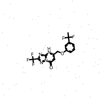 CC(F)(F)c1cccc(OCc2cc(=O)n3nc(C(F)(F)F)nc3[nH]2)c1